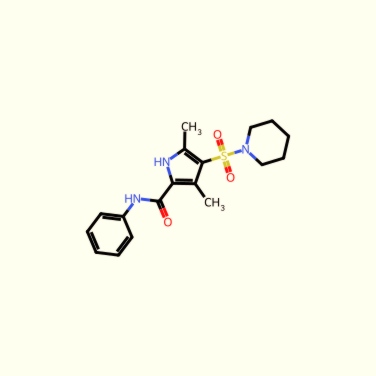 Cc1[nH]c(C(=O)Nc2ccccc2)c(C)c1S(=O)(=O)N1CCCCC1